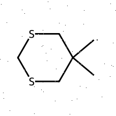 [CH2]C1(C)CSCSC1